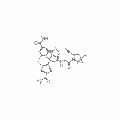 CNC(=O)c1ccc2c(c1)CCc1cc(C(=O)NC)ccc1C2(C[C@@H](I)NCC(=O)N1C(C#N)C[C@@H]2C[C@@H]21)c1nnn[nH]1